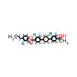 CCCc1ccc(OC(=O)c2ccc(C3CCC(c4ccc(C(C)O)c(F)c4F)CC3)c(F)c2F)c(F)c1F